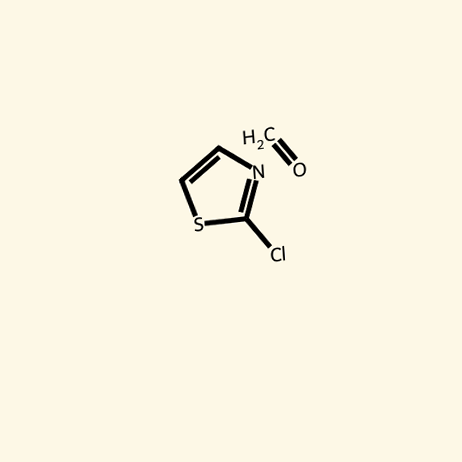 C=O.Clc1nccs1